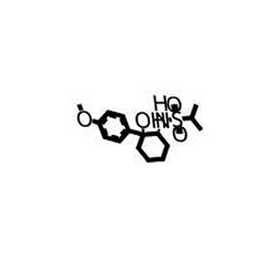 COc1ccc([C@@]2(O)CCCC[C@H]2NS(=O)(=O)C(C)C)cc1